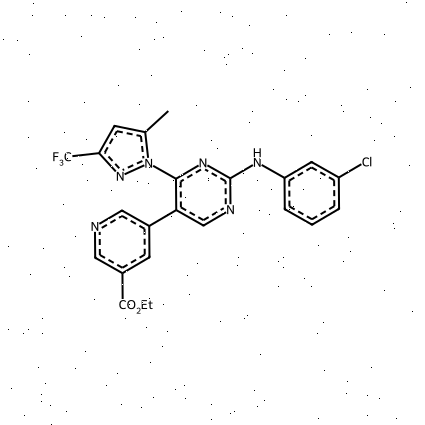 CCOC(=O)c1cncc(-c2cnc(Nc3cccc(Cl)c3)nc2-n2nc(C(F)(F)F)cc2C)c1